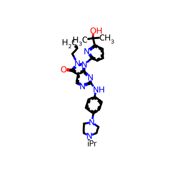 C=CCn1c(=O)c2cnc(Nc3ccc(N4CCN(C(C)C)CC4)cc3)nc2n1-c1cccc(C(C)(C)O)n1